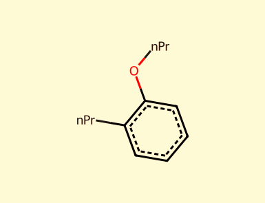 CCCOc1ccccc1CCC